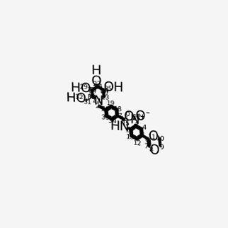 O=[N+]([O-])c1cc(C2=COCCO2)ccc1NCc1ccc(CN2C[C@H](O)[C@@H](O)[C@H](O)[C@H]2CO)cc1